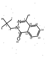 Cc1nn(CC(C)(C)C)c(=O)c2ccccc12